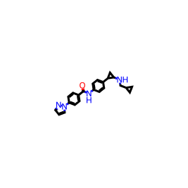 O=C(Nc1ccc(C2CC2NCC2CC2)cc1)c1ccc(-n2cccn2)cc1